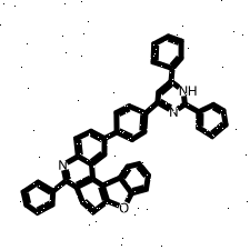 C1=C(c2ccccc2)NC(c2ccccc2)N=C1c1ccc(-c2ccc3nc(-c4ccccc4)c4ccc5oc6ccccc6c5c4c3c2)cc1